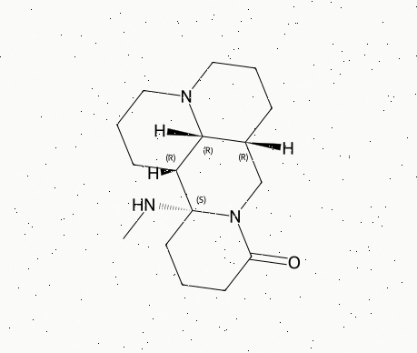 CN[C@@]12CCCC(=O)N1C[C@H]1CCCN3CCC[C@@H]2[C@@H]13